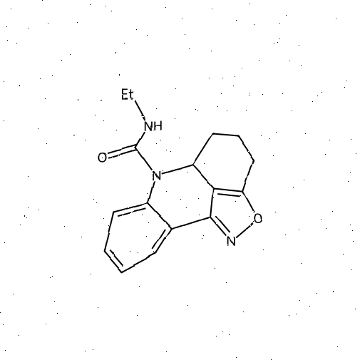 CCNC(=O)N1c2ccccc2-c2noc3c2C1CCC3